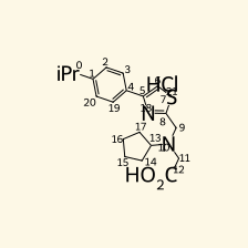 CC(C)c1ccc(-c2csc(CN(CC(=O)O)C3CCCC3)n2)cc1.Cl